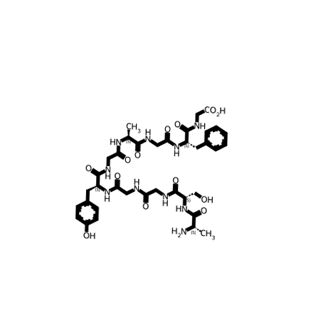 C[C@H](N)C(=O)N[C@@H](CO)C(=O)NCC(=O)NCC(=O)N[C@@H](Cc1ccc(O)cc1)C(=O)NCC(=O)N[C@@H](C)C(=O)NCC(=O)N[C@@H](Cc1ccccc1)C(=O)NCC(=O)O